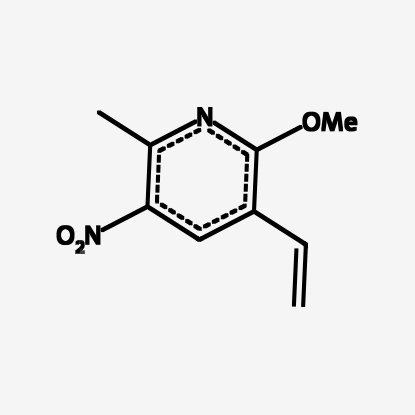 C=Cc1cc([N+](=O)[O-])c(C)nc1OC